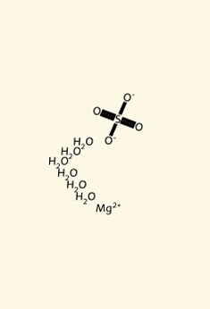 O.O.O.O.O.O.O=S(=O)([O-])[O-].[Mg+2]